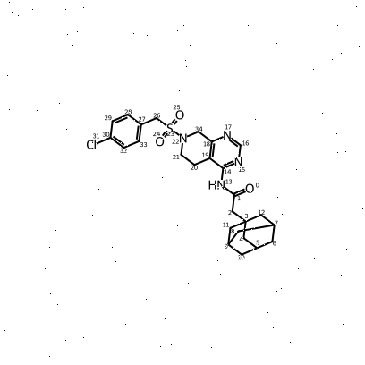 O=C(CC12CC3CC(CC(C3)C1)C2)Nc1ncnc2c1CCN(S(=O)(=O)Cc1ccc(Cl)cc1)C2